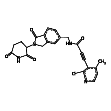 Cc1ccnc(Cl)c1C#CC(=O)NCc1ccc2c(c1)CN(C1CCC(=O)NC1=O)C2=O